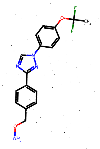 NOCc1ccc(-c2ncn(-c3ccc(OC(F)(F)C(F)(F)F)cc3)n2)cc1